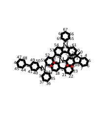 CC1(C)c2ccccc2-c2ccc(N(c3ccccc3-c3ccccc3)c3c(-c4ccc(N(c5ccccc5)c5ccc(-c6ccccc6)cc5)cc4)ccc4c3c3ccccc3n4-c3ccccc3)cc21